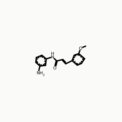 COc1cccc(C=CC(=O)Nc2cccc(N)c2)c1